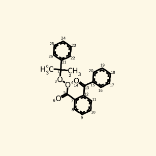 CC(C)(OOC(=O)c1ccccc1C(=O)c1ccccc1)c1ccccc1